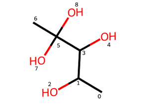 CC(O)C(O)C(C)(O)O